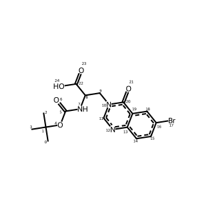 CC(C)(C)OC(=O)NC(Cn1cnc2ccc(Br)cc2c1=O)C(=O)O